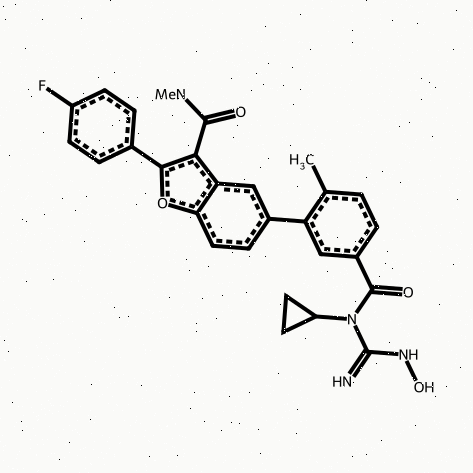 CNC(=O)c1c(-c2ccc(F)cc2)oc2ccc(-c3cc(C(=O)N(C(=N)NO)C4CC4)ccc3C)cc12